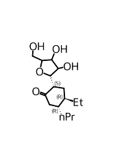 CCC[C@@H]1CC(=O)[C@H](C2OC(CO)C(O)C2O)C[C@H]1CC